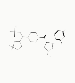 CC(=O)NC(C)(C)CC(C1CCN(C(=O)[C@@H]2CN(C(C)(C)C)C[C@H]2c2ccc(F)cc2F)CC1)C1CCC(F)(F)C1